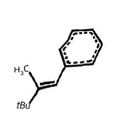 CC(=Cc1ccccc1)C(C)(C)C